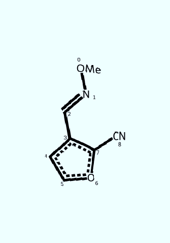 CO/N=C/c1ccoc1C#N